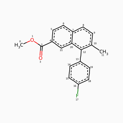 COC(=O)c1ccc2ccc(C)c(-c3ccc(F)cc3)c2c1